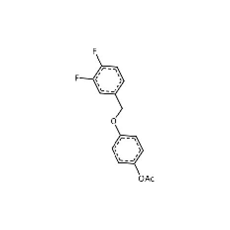 CC(=O)Oc1ccc(OCc2ccc(F)c(F)c2)cc1